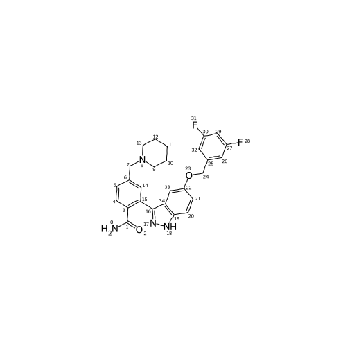 NC(=O)c1ccc(CN2CCCCC2)cc1-c1n[nH]c2ccc(OCc3cc(F)cc(F)c3)cc12